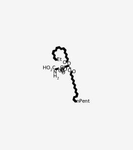 CC/C=C\C/C=C\C/C=C\C/C=C\CCCCC(=O)O[C@H](COC(=O)CCCCCCCCC/C=C\C/C=C\CCCCC)COP(=O)(O)OC[C@H](N)C(=O)O